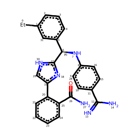 CCc1cccc([C@@H](Nc2ccc(C(=N)N)cc2)c2nc(-c3ccccc3C(N)=O)c[nH]2)c1